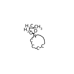 CC(C)(C)OC(=O)N1CCCCCCCCCCCCC1